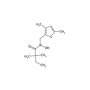 CCC(C)(C)C(=O)N(O)Cc1sc(C)cc1C